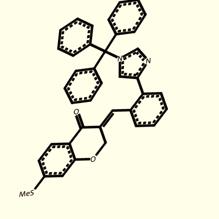 CSc1ccc2c(c1)OCC(=Cc1ccccc1-c1cn(C(c3ccccc3)(c3ccccc3)c3ccccc3)cn1)C2=O